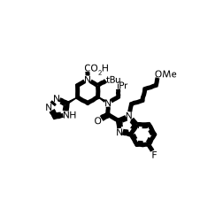 COCCCCn1c(C(=O)N(CC(C)C)[C@H]2C[C@@H](c3nnc[nH]3)CN(C(=O)O)C2C(C)(C)C)nc2cc(F)ccc21